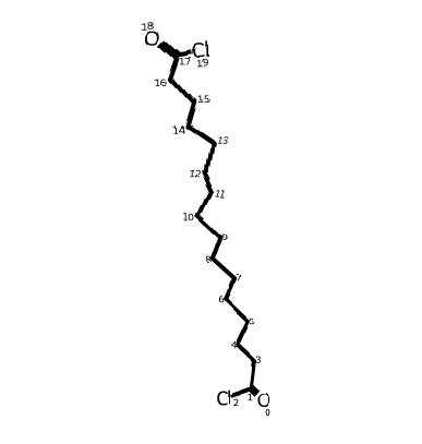 O=C(Cl)CCCCCCCCCCCCCCC(=O)Cl